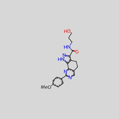 COc1ccc(-c2ncc3c(n2)-c2[nH]nc(C(=O)NCCCO)c2CC3)cc1